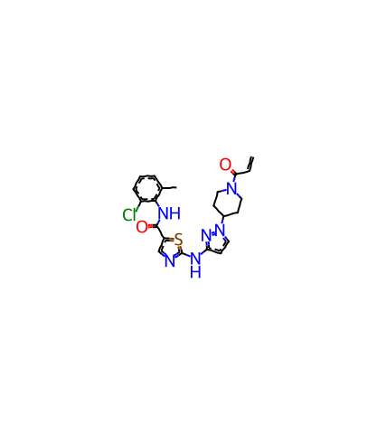 C=CC(=O)N1CCC(n2ccc(Nc3ncc(C(=O)Nc4c(C)cccc4Cl)s3)n2)CC1